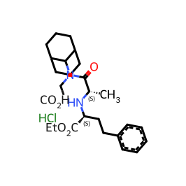 CCOC(=O)[C@H](CCc1ccccc1)N[C@@H](C)C(=O)N(CC(=O)O)C1C2CCCC1CCC2.Cl